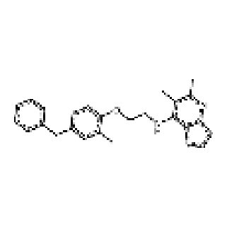 Cc1cc(Cc2ccccc2)ccc1OCCNc1c(C)c(C)nc2ccnn12